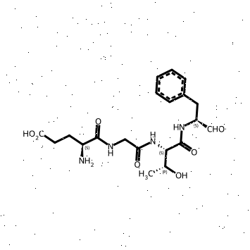 C[C@@H](O)[C@H](NC(=O)CNC(=O)[C@@H](N)CCC(=O)O)C(=O)N[C@H]([C]=O)Cc1ccccc1